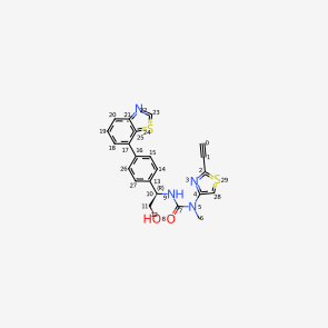 C#Cc1nc(N(C)C(=O)N[C@@H](CO)c2ccc(-c3cccc4ncsc34)cc2)cs1